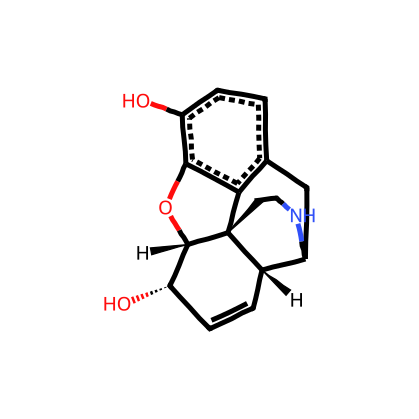 Oc1ccc2c3c1O[C@H]1[C@@H](O)C=C[C@H]4C(C2)NCC[C@@]341